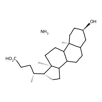 C[C@H](CCC(=O)O)[C@H]1CCC2C3CCC4C[C@H](O)CC[C@]4(C)C3CC[C@@]21C.N